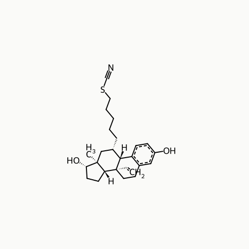 C=C[C@@]12CCc3cc(O)ccc3[C@H]1[C@@H](CCCCCSC#N)C[C@@]1(C)[C@H]2CC[C@@H]1O